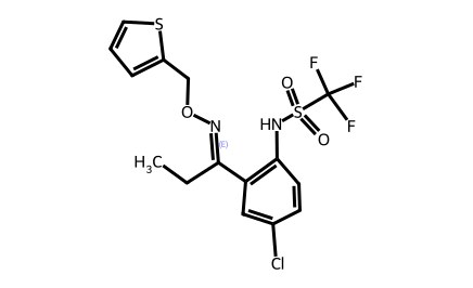 CC/C(=N\OCc1cccs1)c1cc(Cl)ccc1NS(=O)(=O)C(F)(F)F